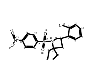 CCC1(CC)CC(c2ccccc2Cl)CN1S(=O)(=O)c1ccc([N+](=O)[O-])cc1